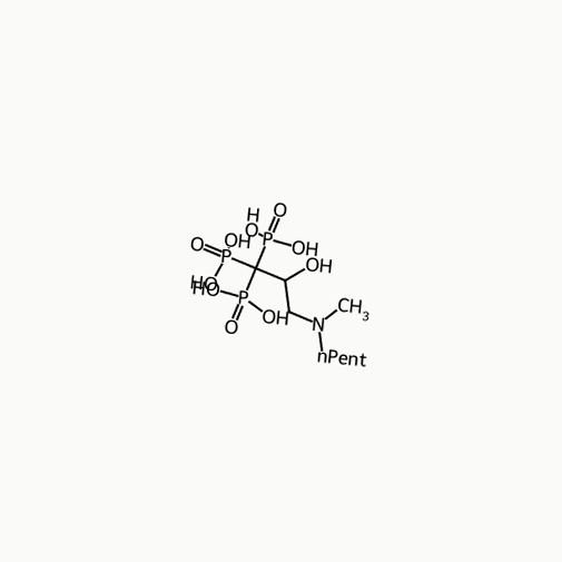 CCCCCN(C)CC(O)C(P(=O)(O)O)(P(=O)(O)O)P(=O)(O)O